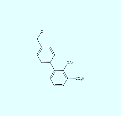 CC(=O)Oc1c(C(=O)O)cccc1-c1ccc(CCl)cc1